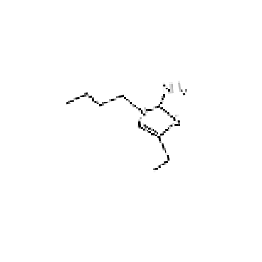 CCCCN1C=C(CC)SC1N